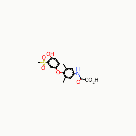 Cc1cc(NC(=O)C(=O)O)cc(C)c1Oc1ccc(O)c(S(C)(=O)=O)c1